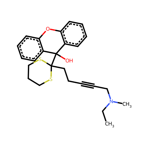 CCN(C)CC#CCCC1(C2(O)c3ccccc3Oc3ccccc32)SCCCS1